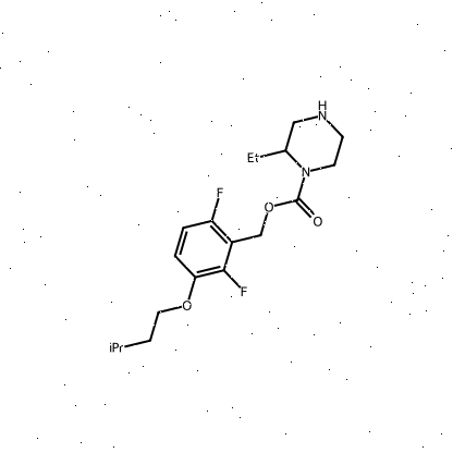 CCC1CNCCN1C(=O)OCc1c(F)ccc(OCCC(C)C)c1F